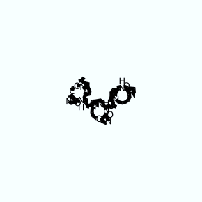 CC(C)c1cc2ccc3nc2n1CCCCCc1cnccc1C(=O)NC3CCC(C)c1cc2ccc3nc2n1CCCCCc1ccncc1C(=O)NC3CCC(C)c1cc2ccc3nc2n1CCCCCc1ncccc1C(=O)NC3C